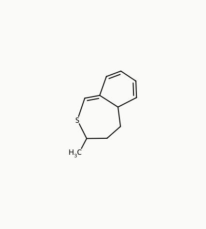 CC1CCC2C=CC=CC2=CS1